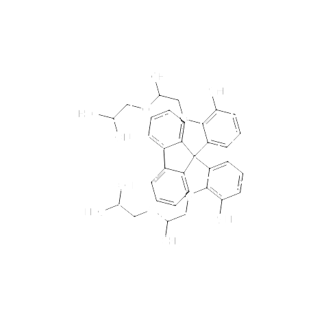 CC(O)COC(C)COc1c([SiH3])cccc1C1(c2cccc([SiH3])c2OCC(C)OCC(C)O)c2ccccc2-c2ccccc21